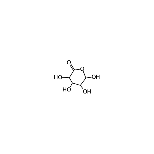 O=C1OC(O)C(O)C(O)C1O